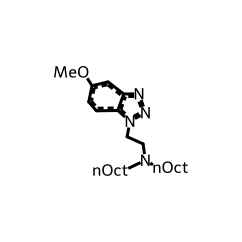 CCCCCCCCN(CCCCCCCC)CCn1nnc2cc(OC)ccc21